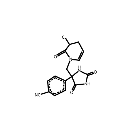 N#Cc1ccc(C2(CN3C=CCC(Cl)C3=O)NC(=O)NC2=O)cc1